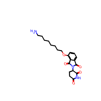 NCCCCCCCCOc1cccc2c1C(=O)N(C1CCC(=O)NC1=O)C2=O